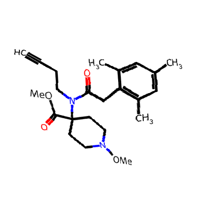 C#CCCN(C(=O)Cc1c(C)cc(C)cc1C)C1(C(=O)OC)CCN(OC)CC1